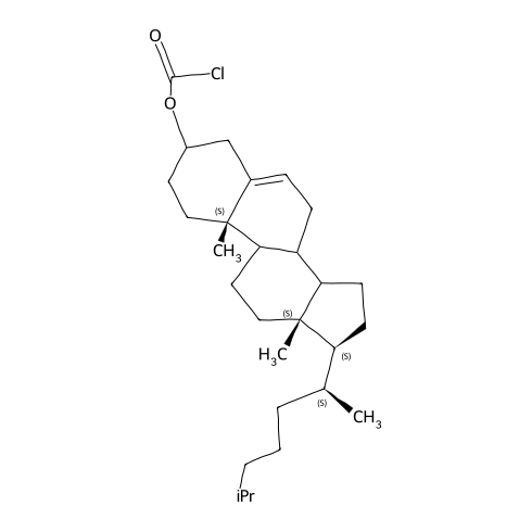 CC(C)CCC[C@H](C)[C@@H]1CCC2C3CC=C4CC(OC(=O)Cl)CC[C@@]4(C)C3CC[C@]21C